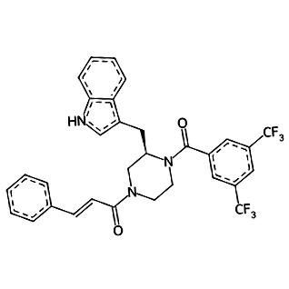 O=C(C=Cc1ccccc1)N1CCN(C(=O)c2cc(C(F)(F)F)cc(C(F)(F)F)c2)[C@H](Cc2c[nH]c3ccccc23)C1